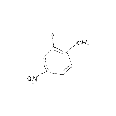 Cc1ccc([N+](=O)[O-])cc1[S]